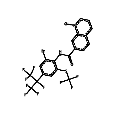 O=C(Nc1c(Br)cc(C(F)(C(F)(F)F)C(F)(F)F)cc1SC(F)(F)F)c1ccc2ccc[n+]([O-])c2c1